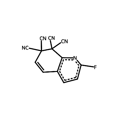 N#CC1(C#N)C=Cc2ccc(F)nc2C1(C#N)C#N